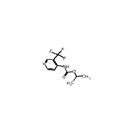 CC(C)OC(=O)Nc1ccncc1C(F)(F)F